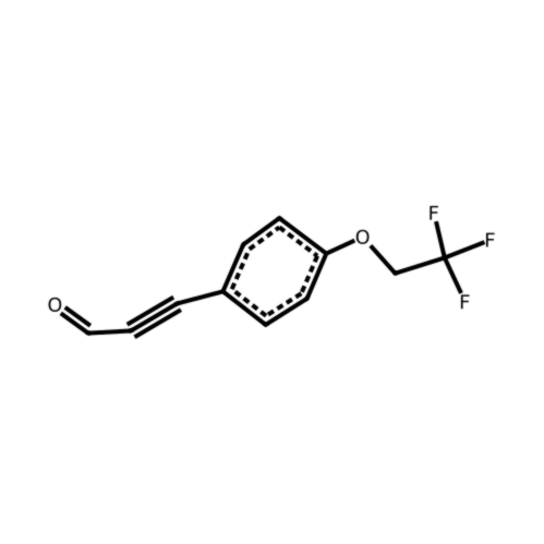 O=CC#Cc1ccc(OCC(F)(F)F)cc1